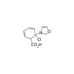 O=C(O)C1C=CC=CC1(Cl)N1C=COC1